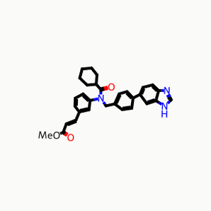 COC(=O)/C=C/c1cccc(N(Cc2ccc(-c3ccc4nc[nH]c4c3)cc2)C(=O)C2CCCCC2)c1